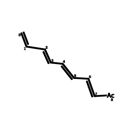 C=C/C=C/C=C/C=C/C(C)=O